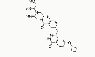 N=C(CO)N1CCN(C(=O)c2cc(Cc3n[nH]c(=O)c4ccc(OC5CCC5)cc34)ccc2F)CC1=N